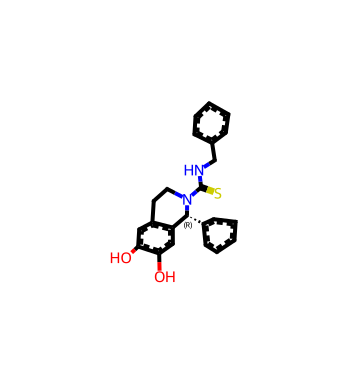 Oc1cc2c(cc1O)[C@@H](c1ccccc1)N(C(=S)NCc1ccccc1)CC2